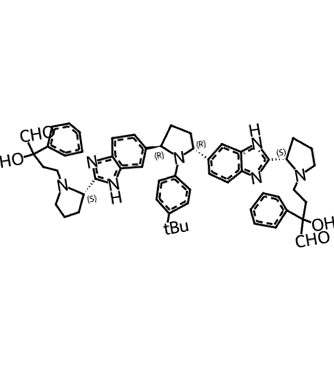 CC(C)(C)c1ccc(N2[C@@H](c3ccc4nc([C@@H]5CCCN5CCC(O)(C=O)c5ccccc5)[nH]c4c3)CC[C@@H]2c2ccc3nc([C@@H]4CCCN4CCC(O)(C=O)c4ccccc4)[nH]c3c2)cc1